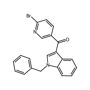 O=C(c1ccc(Br)nc1)c1cn(Cc2ccccc2)c2ccccc12